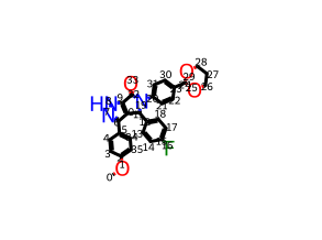 COc1ccc(-c2n[nH]c3c2C(c2ccc(F)cc2)N(c2ccc(C4OCCCO4)cc2)C3=O)cc1